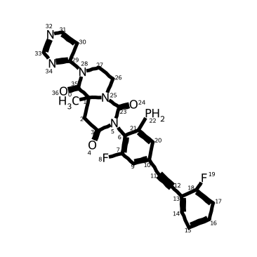 CC12CC(=O)N(c3c(F)cc(C#Cc4ccccc4F)cc3P)C(=O)N1CCN(c1ccncn1)C2=O